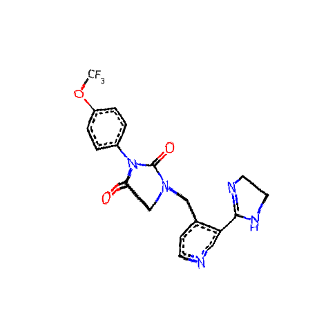 O=C1CN(Cc2ccncc2C2=NCCN2)C(=O)N1c1ccc(OC(F)(F)F)cc1